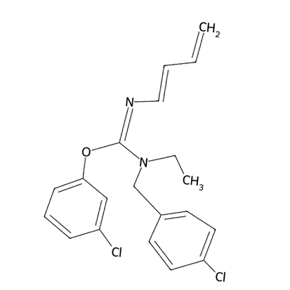 C=C/C=C/N=C(/Oc1cccc(Cl)c1)N(CC)Cc1ccc(Cl)cc1